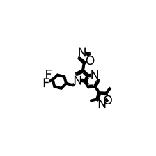 Cc1noc(C)c1-c1cnc2c(-c3cnco3)cn(CC3CCC(F)(F)CC3)c2c1